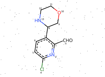 O=Cc1nc(Cl)ccc1C1COCCN1